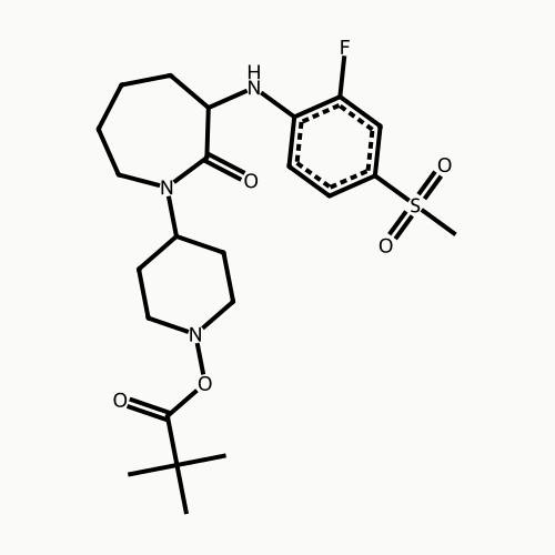 CC(C)(C)C(=O)ON1CCC(N2CCCCC(Nc3ccc(S(C)(=O)=O)cc3F)C2=O)CC1